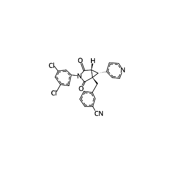 N#Cc1cccc(C[C@@]23C(=O)N(c4cc(Cl)cc(Cl)c4)C(=O)[C@@H]2[C@@H]3c2ccncc2)c1